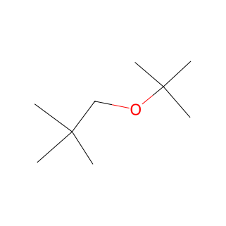 CC(C)(C)COC(C)(C)C